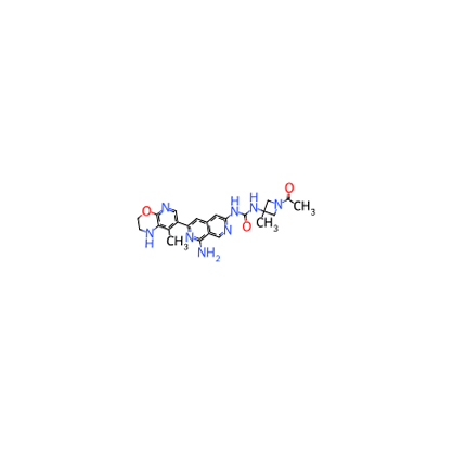 CC(=O)N1CC(C)(NC(=O)Nc2cc3cc(-c4cnc5c(c4C)NCCO5)nc(N)c3cn2)C1